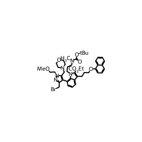 CCOC(=O)c1c(CCCOc2cccc3ccccc23)c2cccc(-c3c(CBr)nn(CCOC)c3CN3CCOCC3)c2n1CCCN(C)C(=O)OC(C)(C)C